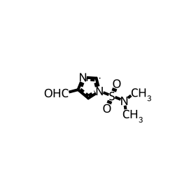 CN(C)S(=O)(=O)n1[c]nc(C=O)c1